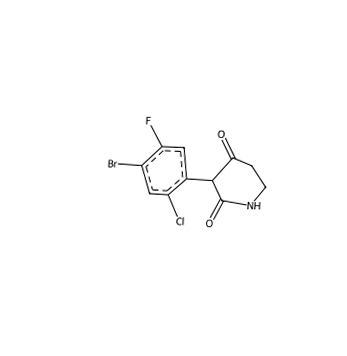 O=C1CCNC(=O)C1c1cc(F)c(Br)cc1Cl